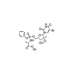 CC(C)OC(=O)[C@@H](C)N[P@](=O)(OC[C@H]1O[C@@H](n2cc(Br)c(=O)[nH]c2=O)[C@](C)(Cl)[C@@H]1O)Oc1ccccc1